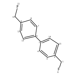 FCc1ccc(-c2ccc(CF)cc2)cc1